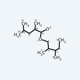 CCC(C)C(C)COC([O])C(C)CC(C)C